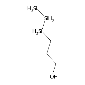 OCCC[SiH2][SiH2][SiH3]